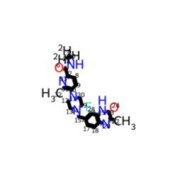 [2H]C([2H])([2H])NC(=O)c1ccc(N2CCN(Cc3ccc4nc(C)c(=O)[nH]c4c3F)CC2)c(C)n1